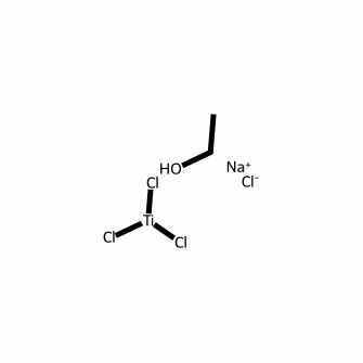 CCO.[Cl-].[Cl][Ti]([Cl])[Cl].[Na+]